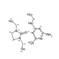 Nc1nc(N)nc(NCO)n1.O=C1N(CO)CCN1CO